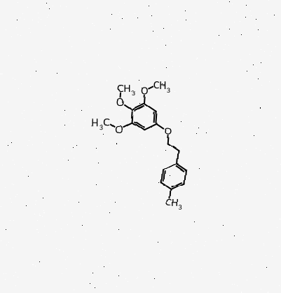 COc1cc(OCCc2ccc(C)cc2)cc(OC)c1OC